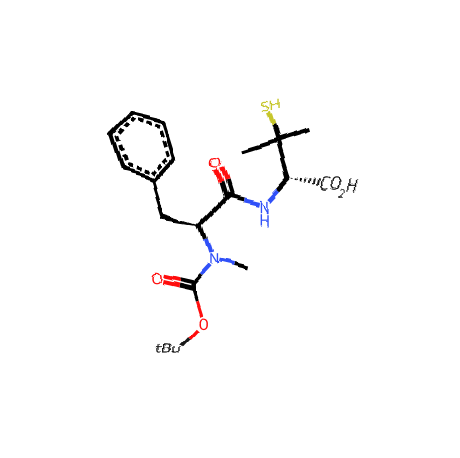 CN(C(=O)OC(C)(C)C)[C@@H](Cc1ccccc1)C(=O)N[C@@H](C(=O)O)C(C)(C)S